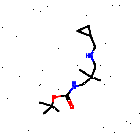 CC(C)(CNCC1CC1)CNC(=O)OC(C)(C)C